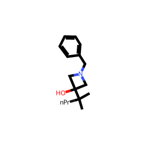 CCCC(C)(C)C1(O)CN(Cc2ccccc2)C1